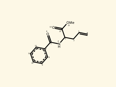 C=CCC(NC(=O)c1ccccc1)C(=O)OC